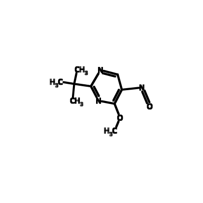 COc1nc(C(C)(C)C)ncc1N=O